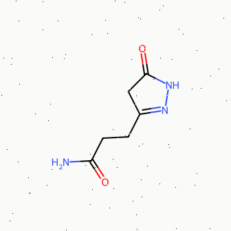 NC(=O)CCC1=NNC(=O)C1